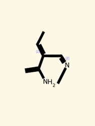 C=C(N)C(/C=N\C)=C/C